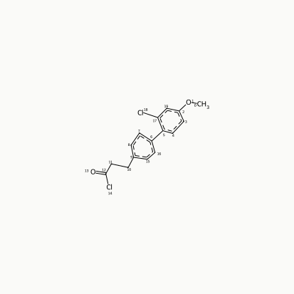 COc1ccc(-c2ccc(CCC(=O)Cl)cc2)c(Cl)c1